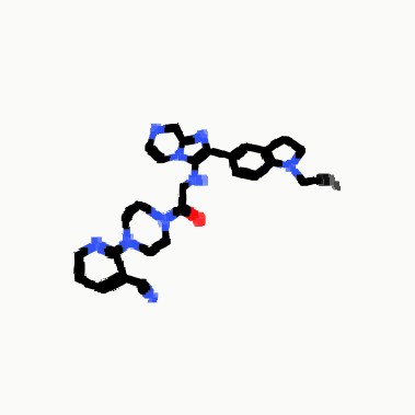 CCN1CCc2cc(-c3nc4cnccn4c3NCC(=O)N3CCN(c4ncccc4C#N)CC3)ccc21